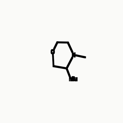 CCCCC1COCCN1C